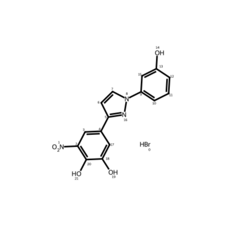 Br.O=[N+]([O-])c1cc(-c2ccn(-c3cccc(O)c3)n2)cc(O)c1O